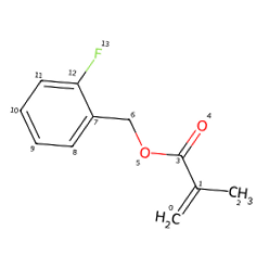 C=C(C)C(=O)OCc1ccccc1F